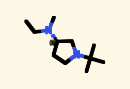 CCN(C)[C@H]1CCN(C(C)(C)C)C1